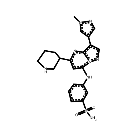 Cn1cc(-c2cnn3c(Nc4cccc(S(N)(=O)=O)c4)cc(C4CCCNC4)nc23)cn1